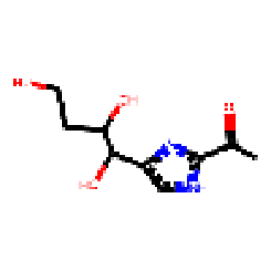 CC(=O)c1nc(C(O)C(O)CCO)c[nH]1